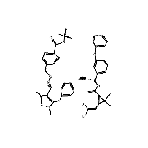 CC1(C)[C@H](C(=O)O[C@H](C#N)c2cccc(Oc3ccccc3)c2)[C@@H]1C=C(Br)Br.Cc1nn(C)c(Oc2ccccc2)c1/C=N/OCc1ccc(C(=O)OC(C)(C)C)cc1